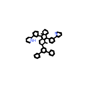 CC1C2=C(c3cccc(-c4ccccn4)c3)C3=CC=CCC3(C)C(c3cccc(C4C=CC=CN4)c3)=C2C=CC1c1cc(-c2ccccc2)cc(-c2ccccc2)c1